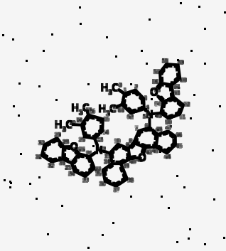 Cc1ccc(N(c2cc3c4cc(N(c5ccc(C)c(C)c5)c5cccc6c5oc5ccccc56)c5ccccc5c4oc3c3ccccc23)c2cccc3c2oc2ccccc23)cc1C